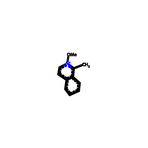 CO[n+]1ccc2ccccc2c1C